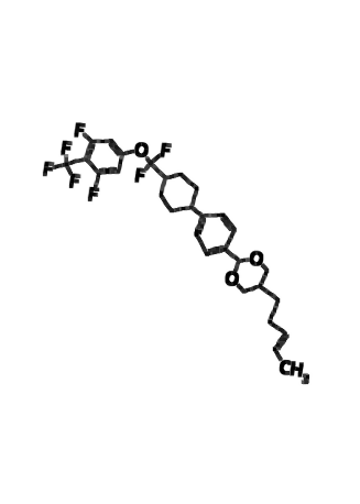 C/C=C/CCC1COC(c2ccc(C3CCC(C(F)(F)Oc4cc(F)c(C(F)(F)F)c(F)c4)CC3)cc2)OC1